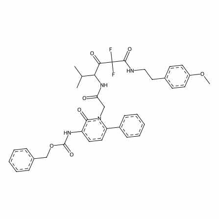 COc1ccc(CCNC(=O)C(F)(F)C(=O)C(NC(=O)Cn2c(-c3ccccc3)ccc(NC(=O)OCc3ccccc3)c2=O)C(C)C)cc1